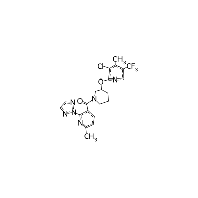 Cc1ccc(C(=O)N2CCCC(Oc3ncc(C(F)(F)F)c(C)c3Cl)C2)c(-n2nccn2)n1